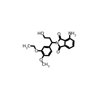 CCOc1cc(C(CCO)N2C(=O)c3cccc(N)c3C2=O)ccc1OC